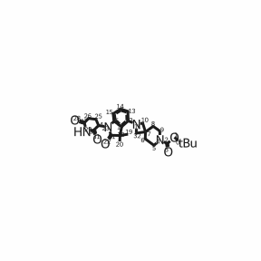 CC(C)(C)OC(=O)N1CCC2(CC1)CN(c1cccc3c1C(C)(C)C(=O)N3C1CCC(=O)NC1=O)C2